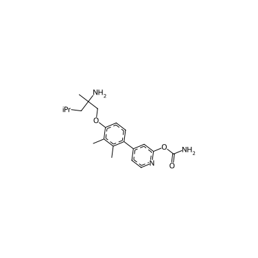 Cc1c(OCC(C)(N)CC(C)C)ccc(-c2ccnc(OC(N)=O)c2)c1C